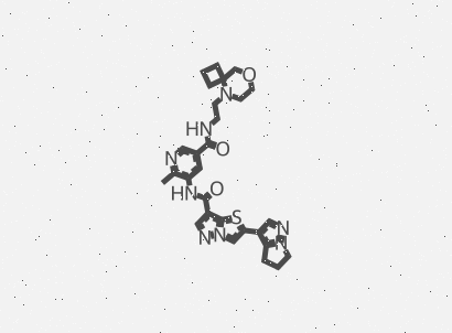 Cc1ncc(C(=O)NCCN2CCOCC23CCC3)cc1NC(=O)c1cnn2cc(-c3cnn4c3CCC4)sc12